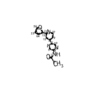 CC(=O)Nc1cnc(-c2ccnc(-c3ccco3)c2)cn1